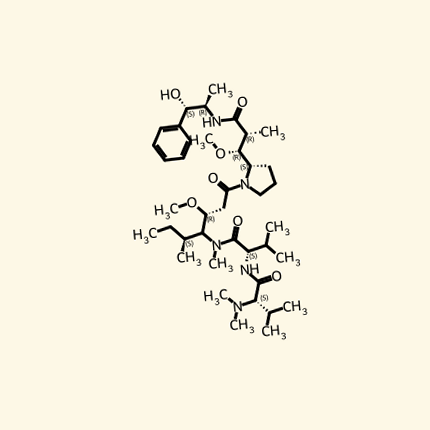 CC[C@H](C)C([C@@H](CC(=O)N1CCC[C@H]1[C@H](OC)[C@@H](C)C(=O)N[C@H](C)[C@@H](O)c1ccccc1)OC)N(C)C(=O)[C@@H](NC(=O)[C@H](C(C)C)N(C)C)C(C)C